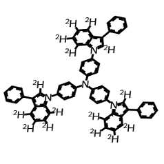 [2H]c1c([2H])c([2H])c2c(c1[2H])c(-c1ccccc1)c([2H])n2-c1ccc(N(c2ccc(-n3c([2H])c(-c4ccccc4)c4c([2H])c([2H])c([2H])c([2H])c43)cc2)c2ccc(-n3c([2H])c(-c4ccccc4)c4c([2H])c([2H])c([2H])c([2H])c43)cc2)cc1